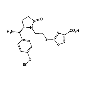 CCOc1ccc(C(N)[C@H]2CCC(=O)N2CCSc2nc(C(=O)O)cs2)cc1